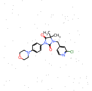 CC1(C)C(=O)N(c2ccc(N3CCOCC3)cc2)C(=O)N1Cc1ccnc(Cl)c1